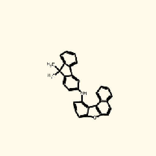 CC1(C)c2ccccc2-c2cc(Nc3cccc4oc5ccc6ccccc6c5c34)ccc21